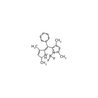 CC1=CC(C)[NH+]2C1=C(c1ccccc1)c1c(C)cc(C)n1[B-]2(F)F